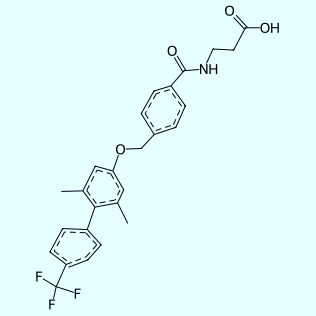 Cc1cc(OCc2ccc(C(=O)NCCC(=O)O)cc2)cc(C)c1-c1ccc(C(F)(F)F)cc1